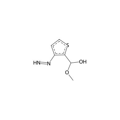 COC(O)c1sccc1N=N